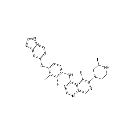 Cc1c(Oc2ccn3ncnc3c2)ccc(Nc2ncnc3cnc(N4CCN[C@H](C)C4)c(F)c23)c1F